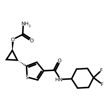 NC(=O)O[C@@H]1C[C@H]1c1cc(C(=O)NC2CCC(F)(F)CC2)cs1